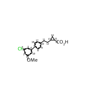 COc1cc(Cl)cc(-c2ccc(CCC3CC3C(=O)O)cc2)c1